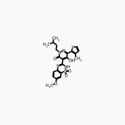 COc1ccc2c(c1)S(=O)(=O)NC(c1c(O)c(-c3sccc3C)nn(CCC(C)C)c1=O)=N2